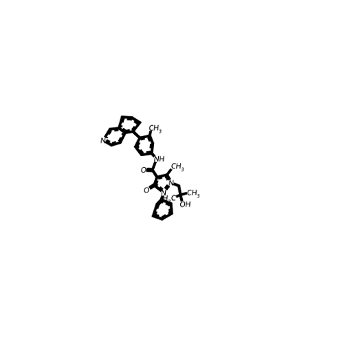 Cc1cc(NC(=O)c2c(C)n(CC(C)(C)O)n(-c3ccccc3)c2=O)ccc1-c1cccc2cnccc12